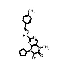 CCC1C(=O)N(C)c2cnc(NN=Cc3ccc(C)cn3)nc2N1C1CCCC1